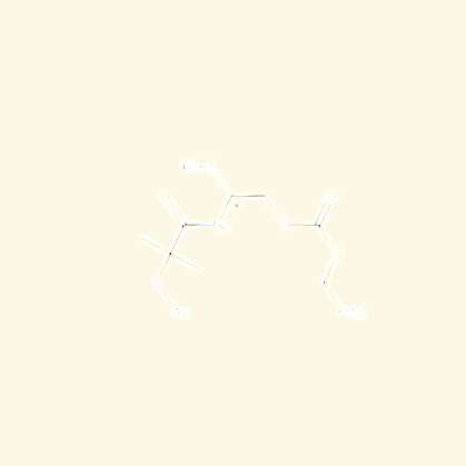 CC(=O)OCOC(=O)SC[C@H](NC(=O)C(C)(C)SC(C)=O)C(=O)O